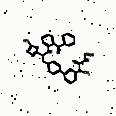 CCCCCCCNC(=O)N(C)c1cccc(-c2ccc(CC(Nc3ccccc3C(=O)c3ccccc3)c3nnc(CCC)o3)cc2)c1